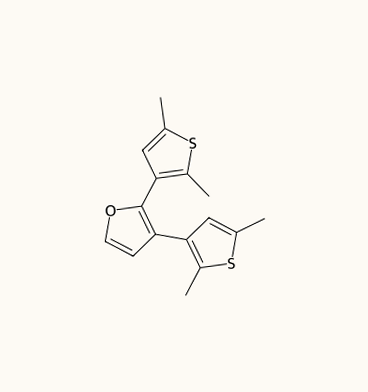 Cc1cc(-c2ccoc2-c2cc(C)sc2C)c(C)s1